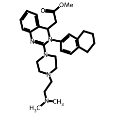 COC(=O)CC1c2ccccc2N=C(N2CCN(CCN(C)C)CC2)N1c1ccc2c(c1)CCCC2